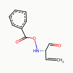 C=C[C@@H](C=O)NOC(=O)c1ccccc1